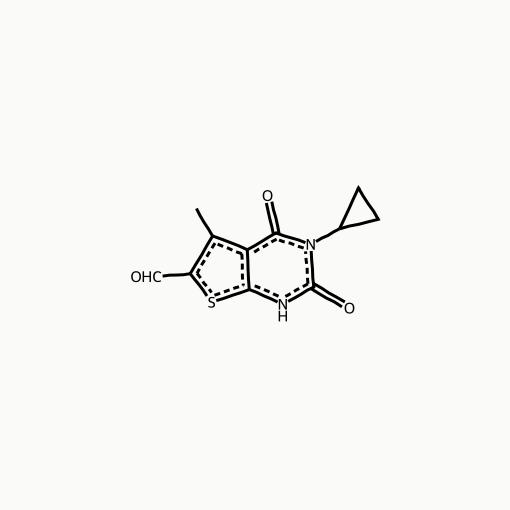 Cc1c(C=O)sc2[nH]c(=O)n(C3CC3)c(=O)c12